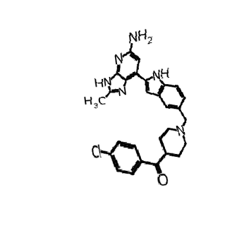 Cc1nc2c(-c3cc4cc(CN5CCC(C(=O)c6ccc(Cl)cc6)CC5)ccc4[nH]3)cc(N)nc2[nH]1